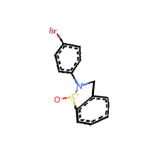 [O-][S+]1c2ccccc2CN1c1ccc(Br)cc1